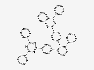 c1ccc(-c2nc(-c3ccccc3)nc(-c3ccc(-c4cccc(-c5ccccc5)c4-c4ccc(-c5nc(-c6ccccc6)c6ccccc6n5)cc4)cc3)n2)cc1